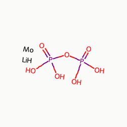 O=P(O)(O)OP(=O)(O)O.[LiH].[Mo]